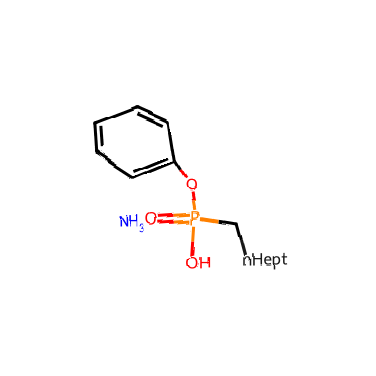 CCCCCCCCP(=O)(O)Oc1ccccc1.N